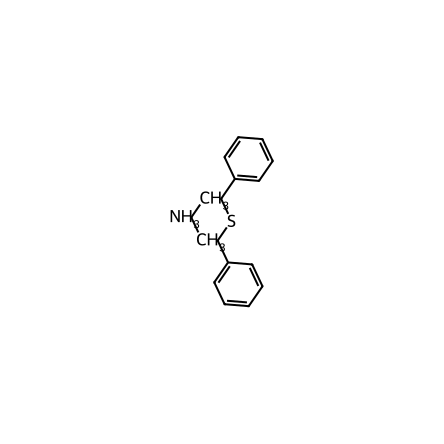 CCC.N.c1ccc(CSCc2ccccc2)cc1